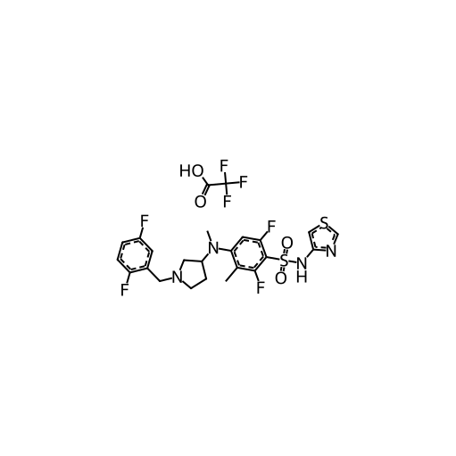 Cc1c(N(C)C2CCN(Cc3cc(F)ccc3F)C2)cc(F)c(S(=O)(=O)Nc2cscn2)c1F.O=C(O)C(F)(F)F